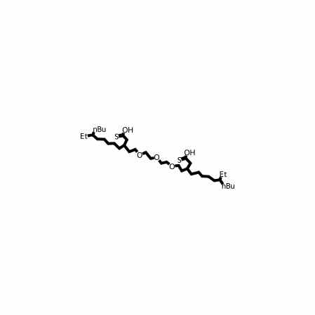 CCCCC(CC)CCCCCC(CCOCCOCCOCCC(CCCCCC(CC)CCCC)CC(O)=S)CC(O)=S